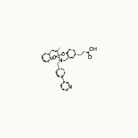 CC(=Cc1ccccn1)S(=O)(=O)N(Cc1ccc(-c2cccnc2)cc1)Cc1cccc(CCC(=O)O)c1